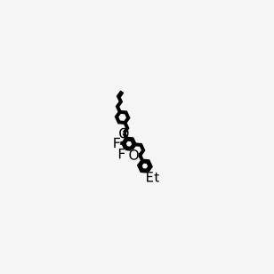 C=CCCC1CCC(COc2cc3c(c(F)c2F)OC(c2ccc(CC)cc2)CC3)CC1